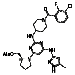 COC[C@@H]1CCCN1c1cc(Nc2cc(C)[nH]n2)nc(NC2CCN(C(=O)c3cccc(Cl)c3F)CC2)n1